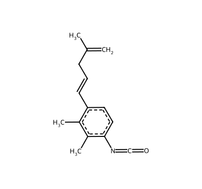 C=C(C)CC=Cc1ccc(N=C=O)c(C)c1C